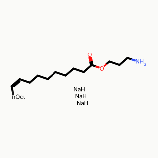 CCCCCCCC/C=C\CCCCCCCC(=O)OCCCN.[NaH].[NaH].[NaH]